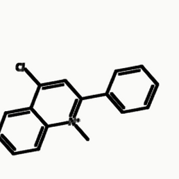 C[n+]1c(-c2ccccc2)cc(Cl)c2ccccc21